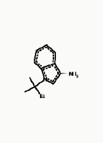 CCC(C)(C)n1cc(N)c2ccccc21